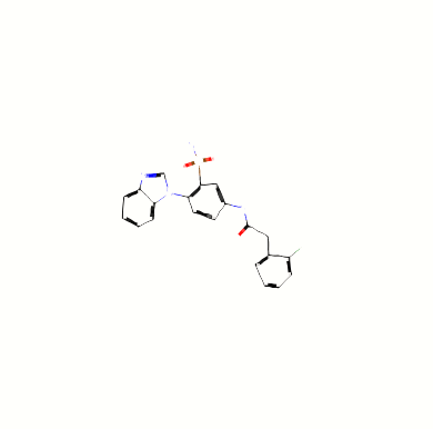 NS(=O)(=O)c1cc(NC(=O)Cc2ccccc2Cl)ccc1-n1cnc2ccccc21